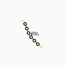 CCCCCCC1(CCCCCC)c2cc(-c3ccc(-c4ccc(S)cc4)cc3)ccc2-c2ccc(-c3ccc(-c4ccc(S)cc4)cc3)cc21